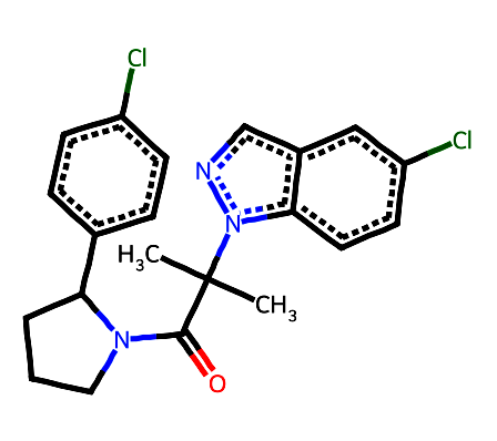 CC(C)(C(=O)N1CCCC1c1ccc(Cl)cc1)n1ncc2cc(Cl)ccc21